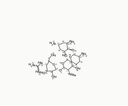 CNC1C(O[C@H]2OC(CO)[C@@H](NC(=N)N)C(O)C2O)OCC2(CCC(N)[C@@H](O[C@@H]3C(N)C[C@@H](N)CC3O)O2)C1O